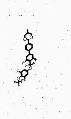 CC1COC(c2ccc(-c3cc(F)c(C(F)(F)Oc4cc(F)c(OC(F)(F)F)c(F)c4)c(F)c3)cc2)OC1